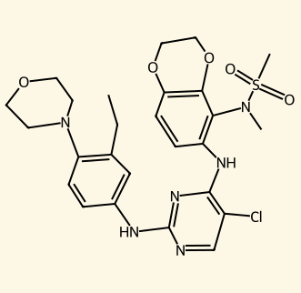 CCc1cc(Nc2ncc(Cl)c(Nc3ccc4c(c3N(C)S(C)(=O)=O)OCCO4)n2)ccc1N1CCOCC1